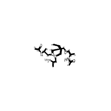 CCC(COCC(C)N)(COCC(C)NC(C)=O)COCC(C)NC(C)=O